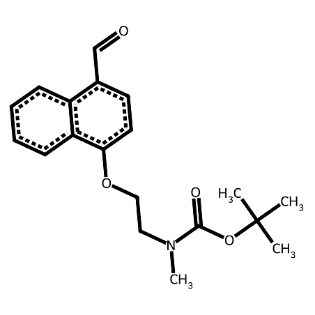 CN(CCOc1ccc(C=O)c2ccccc12)C(=O)OC(C)(C)C